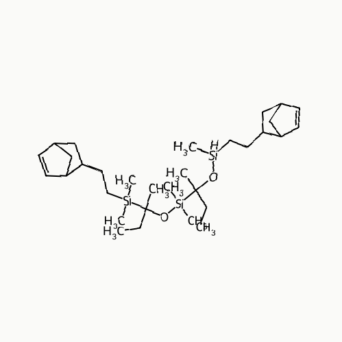 CCC(C)(O[Si](C)(C)C(C)(CC)O[SiH](C)CCC1CC2C=CC1C2)[Si](C)(C)CCC1CC2C=CC1C2